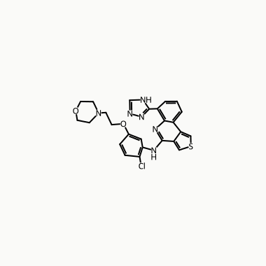 Clc1ccc(OCCN2CCOCC2)cc1Nc1nc2c(-c3nnc[nH]3)cccc2c2cscc12